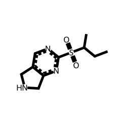 CCC(C)S(=O)(=O)c1ncc2c(n1)CNC2